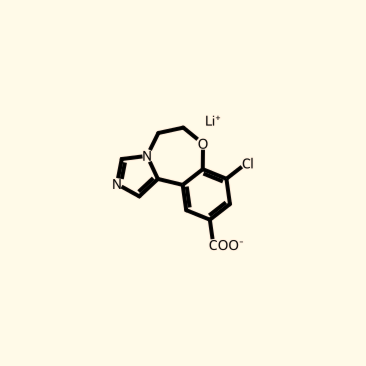 O=C([O-])c1cc(Cl)c2c(c1)-c1cncn1CCO2.[Li+]